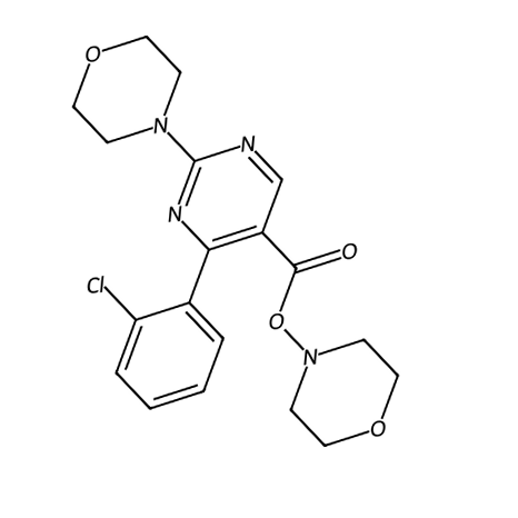 O=C(ON1CCOCC1)c1cnc(N2CCOCC2)nc1-c1ccccc1Cl